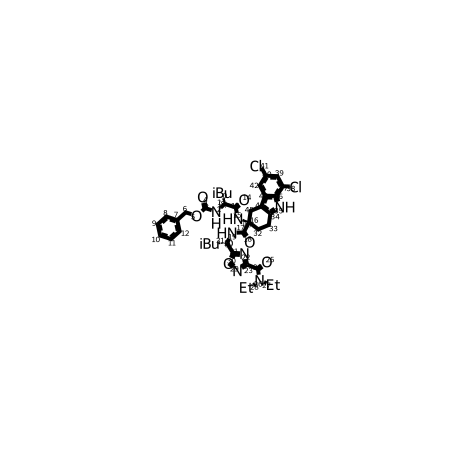 CCC(C)[C@H](NC(=O)OCc1ccccc1)C(=O)N[C@]1(C(=O)N[C@H](c2nc(C(=O)N(CC)CC)no2)C(C)CC)CCc2[nH]c3c(Cl)cc(Cl)cc3c2C1